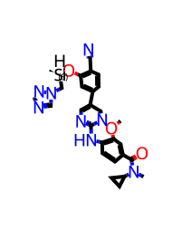 COc1cc(C(=O)N(C)C2CC2)ccc1Nc1ncc(-c2ccc(C#N)c(O[Si@@H](C)Cn3cncn3)c2)cn1